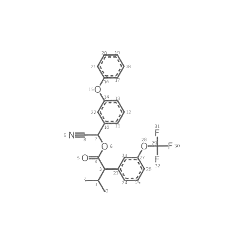 CC(C)C(C(=O)OC(C#N)c1cccc(Oc2ccccc2)c1)c1cccc(OC(F)(F)F)c1